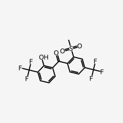 CS(=O)(=O)c1cc(C(F)(F)F)ccc1C(=O)c1cccc(C(F)(F)F)c1O